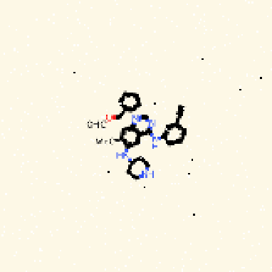 C#Cc1cccc(Nc2ncnc3cc(OC)c(NC4CCNCC4)cc23)c1.O=COCc1ccccc1